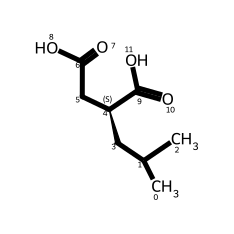 CC(C)C[C@@H](CC(=O)O)C(=O)O